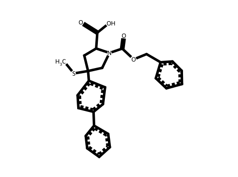 CSC1(c2ccc(-c3ccccc3)cc2)CC(C(=O)O)N(C(=O)OCc2ccccc2)C1